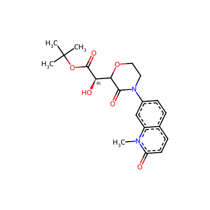 Cn1c(=O)ccc2ccc(N3CCOC([C@@H](O)C(=O)OC(C)(C)C)C3=O)cc21